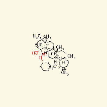 C[C@@H]1[C@H]2[C@H]3CC[C@@H]4[C@]5(C)[C@@H](CC[C@@]4(C)[C@]3(C)CC[C@@]2(C)CC[C@H]1C)C(C)(C)CCC5(O)C(=O)OC1CCCCC1